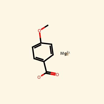 COc1ccc(C(=O)[O-])cc1.[Br-].[Mg+2]